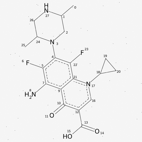 CC1CN(c2c(F)c(N)c3c(=O)c(C(=O)O)cn(C4CC4)c3c2F)C(C)CN1